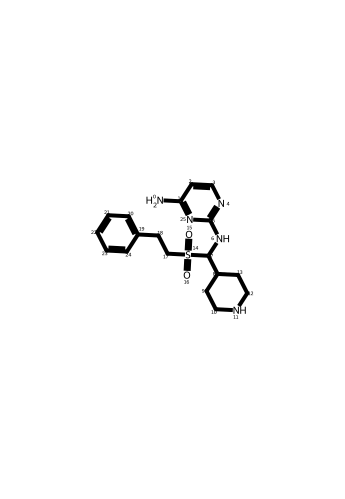 Nc1ccnc(NC(C2CCNCC2)S(=O)(=O)CCc2ccccc2)n1